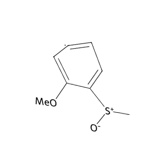 COc1c[c]ccc1[S+](C)[O-]